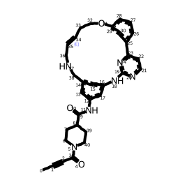 CC#CC(=O)N1CCC(C(=O)Nc2cc3cc(c2)Nc2nccc(n2)-c2cccc(c2)OCC/C=C/CNC3)CC1